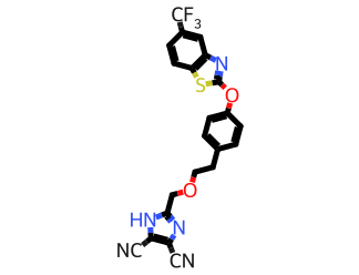 N#Cc1nc(COCCc2ccc(Oc3nc4cc(C(F)(F)F)ccc4s3)cc2)[nH]c1C#N